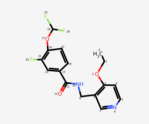 CCOc1ccncc1CNC(=O)c1ccc(OC(F)F)c(F)c1